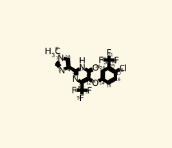 Cn1cnc(-c2nc(C(F)(F)F)c(Oc3ccc(Cl)c(C(F)(F)F)c3)c(=O)[nH]2)c1